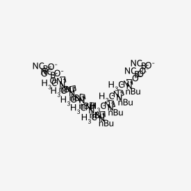 CCCCn1ccc[n+]1C.CCCCn1ccc[n+]1C.CCCCn1ccc[n+]1C.CCCCn1ccc[n+]1C.CCCCn1ccc[n+]1C.CCCCn1ccc[n+]1C.CCCCn1ccc[n+]1C.CCCCn1ccc[n+]1C.N#CB([O-])[O-].N#CB([O-])[O-].N#CB([O-])[O-].N#CB([O-])[O-]